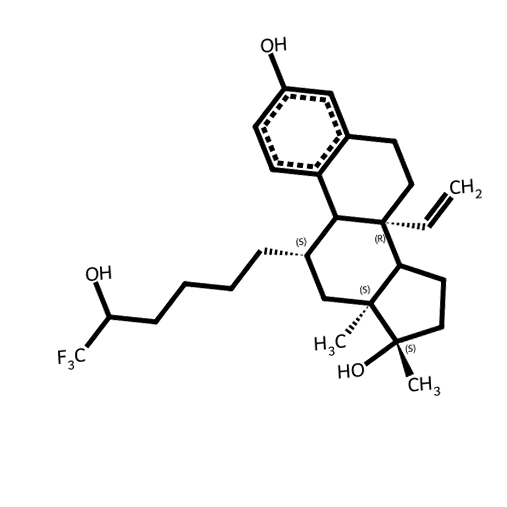 C=C[C@@]12CCc3cc(O)ccc3C1[C@@H](CCCCC(O)C(F)(F)F)C[C@@]1(C)C2CC[C@]1(C)O